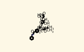 CC(C)OC(=O)[C@H](C)NP(=O)(OC[C@H]1O[C@@H](Cn2ccc(=O)[nH]c2=O)[C@](C)(F)[C@@H]1O)Oc1ccc(C(=O)/C=C/c2ccccc2)cc1